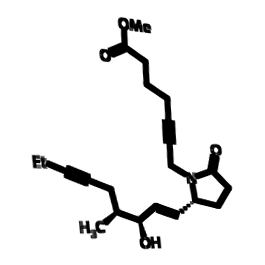 CCC#CC[C@H](C)[C@H](O)C=C[C@H]1CCC(=O)N1CC#CCCCC(=O)OC